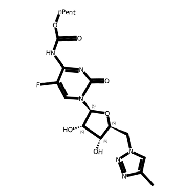 CCCCCOC(=O)Nc1nc(=O)n([C@H]2O[C@@H](Cn3cc(C)nn3)[C@H](O)[C@@H]2O)cc1F